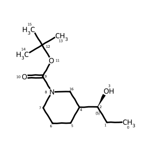 CC[C@H](O)C1CCCN(C(=O)OC(C)(C)C)C1